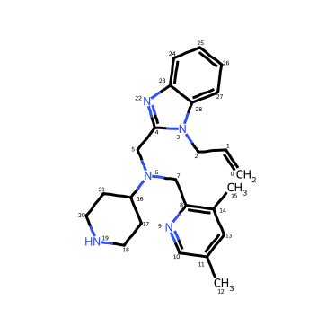 C=CCn1c(CN(Cc2ncc(C)cc2C)C2CCNCC2)nc2ccccc21